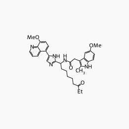 CCC(=O)CCCCCC(NC(=O)Cc1c(C)[nH]c2ccc(OC)cc12)c1ncc(-c2ccc(OC)c3ncccc23)[nH]1